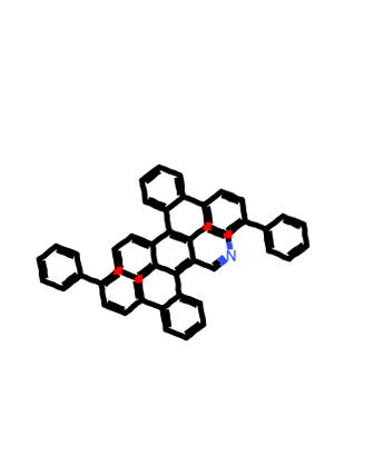 c1ccc(-c2ccc(-c3ccccc3-c3c4ccccc4c(-c4ccccc4-c4ccc(-c5ccccc5)cc4)c4cnccc34)cc2)cc1